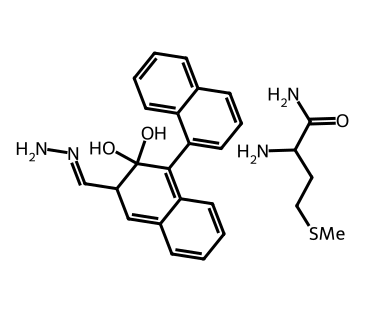 CSCCC(N)C(N)=O.N/N=C/C1C=c2ccccc2=C(c2cccc3ccccc23)C1(O)O